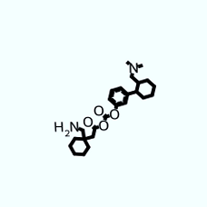 CN(C)CC1CCCCC1c1cccc(OC(=O)OC(=O)CC2(CN)CCCCC2)c1